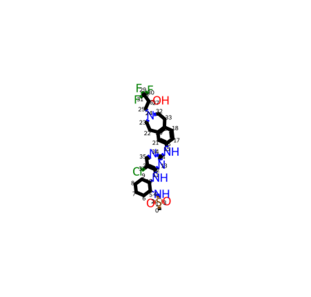 CS(=O)(=O)N[C@@H]1CCCC[C@H]1Nc1nc(Nc2ccc3c(c2)CCN(C[C@@H](O)C(F)(F)F)CC3)ncc1Cl